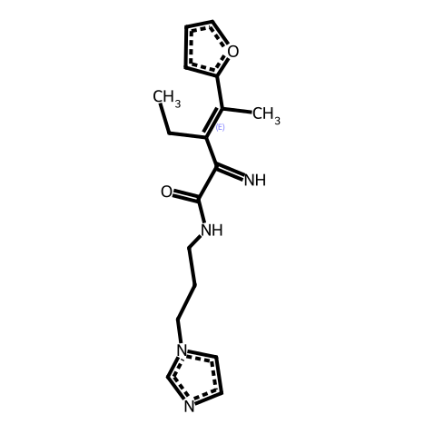 CC/C(C(=N)C(=O)NCCCn1ccnc1)=C(/C)c1ccco1